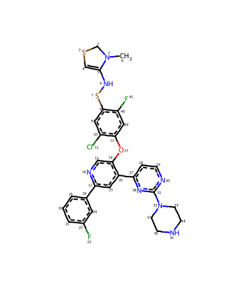 CN1CSC=C1NSc1cc(Cl)c(Oc2cnc(-c3cccc(F)c3)cc2-c2ccnc(N3CCNCC3)n2)cc1F